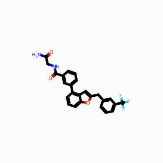 NC(=O)CNC(=O)c1cccc(-c2cccc3oc(Cc4cccc(C(F)(F)F)c4)cc23)c1